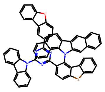 c1ccc2cc3c(cc2c1)c1ccc2ccccc2c1n3-c1c(-c2nc(-c3ccc4oc5ccccc5c4c3)nc(-n3c4ccccc4c4ccccc43)n2)ccc2sc3ccccc3c12